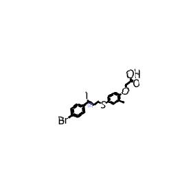 Cc1cc(SC/C=C(\I)c2ccc(Br)cc2)ccc1OCC(=O)O